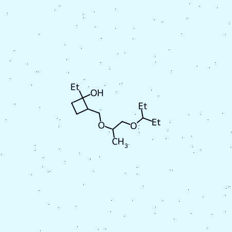 CCC(CC)OCC(C)OCC1CCC1(O)CC